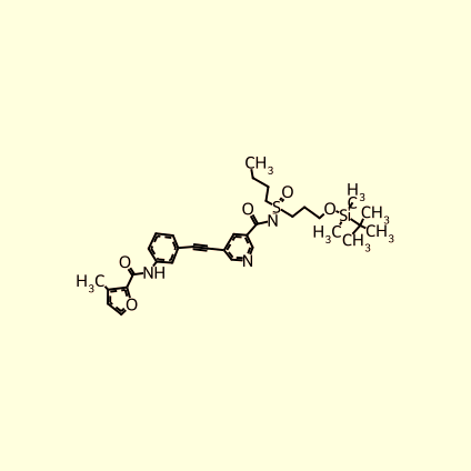 CCCCS(=O)(CCCO[Si](C)(C)C(C)(C)C)=NC(=O)c1cncc(C#Cc2cccc(NC(=O)c3occc3C)c2)c1